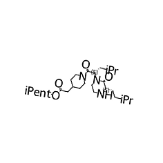 CCCC(C)OC(=O)CC1CCN(C(=O)[C@H](CC(C)C)N2CCN[C@@H](CCC(C)C)C2=O)CC1